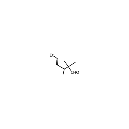 CCC=CC(C)C(C)(C)C=O